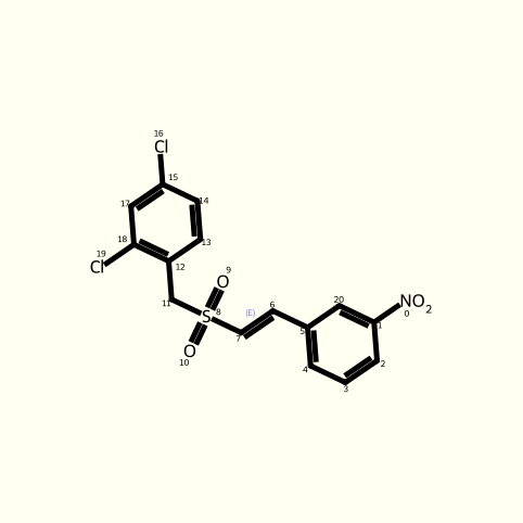 O=[N+]([O-])c1cccc(/C=C/S(=O)(=O)Cc2ccc(Cl)cc2Cl)c1